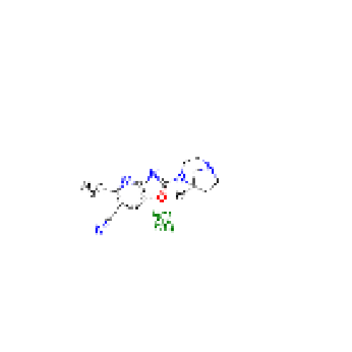 Cc1nc2nc(N3CCN4CC[C@@H]3C4)oc2cc1C#N.Cl.Cl